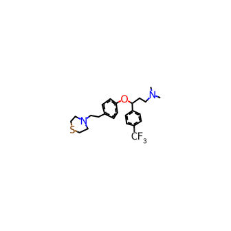 CN(C)CCC(Oc1ccc(CCN2CCSCC2)cc1)c1ccc(C(F)(F)F)cc1